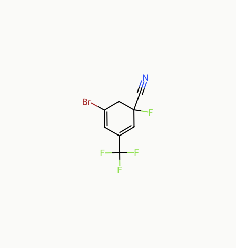 N#CC1(F)C=C(C(F)(F)F)C=C(Br)C1